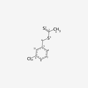 CC(=S)SCc1cccc(Cl)c1